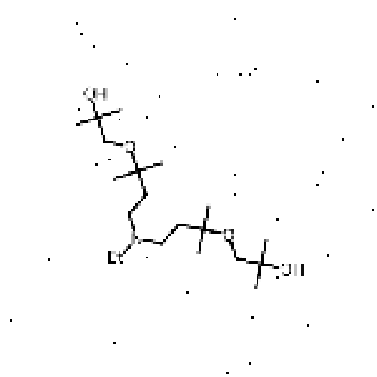 CCN(CCC(C)(C)OCC(C)(C)O)CCC(C)(C)OCC(C)(C)O